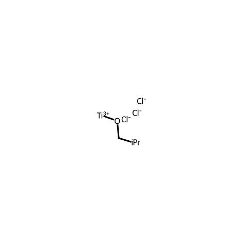 CC(C)C[O][Ti+3].[Cl-].[Cl-].[Cl-]